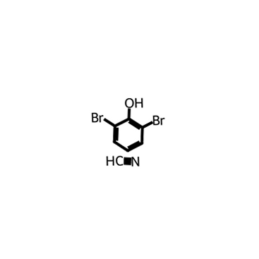 C#N.Oc1c(Br)cccc1Br